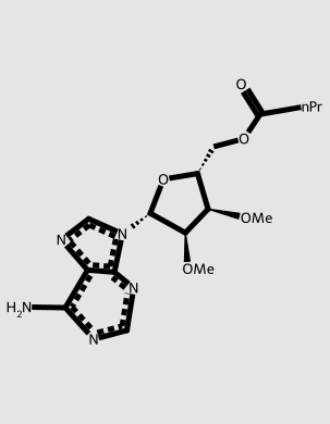 CCCC(=O)OC[C@H]1O[C@@H](n2cnc3c(N)ncnc32)[C@H](OC)[C@@H]1OC